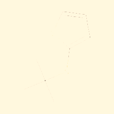 CC(C)(C)Sc1cccs1